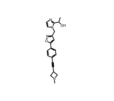 CC(O)c1nccn1Cc1cc(-c2ccc(C#CC3CN(C)C3)cc2)on1